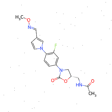 CO/N=C/c1ccn(-c2ccc(N3C[C@H](CNC(C)=O)OC3=O)cc2F)c1